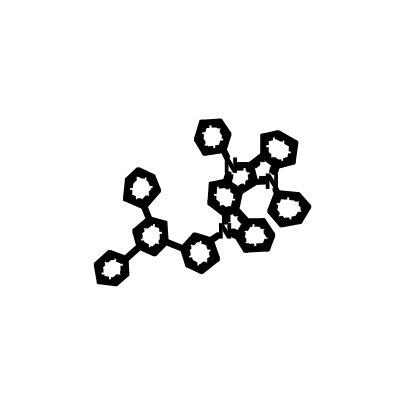 c1ccc(-c2cc(-c3ccccc3)cc(-c3cccc(-n4c5ccccc5c5c6c(ccc54)n(-c4ccccc4)c4c5ccccc5n(-c5ccccc5)c64)c3)c2)cc1